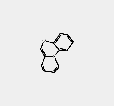 C1=CC2=COc3ccccc3N2C=C1